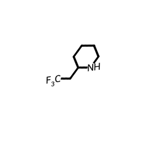 FC(F)(F)CC1CCCCN1